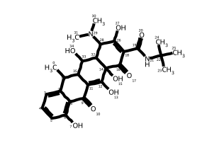 CC1c2cccc(O)c2C(=O)C2=C(O)C3(O)C(=O)C(C(=O)NC(C)(C)C)=C(O)C(N(C)C)C3C(O)C21